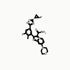 Cc1c(F)cc(-c2noc([C@@H]3C[C@H]3F)n2)cc1-c1nc2cc(N3CCOCC3)ccn2c1C(N)=O